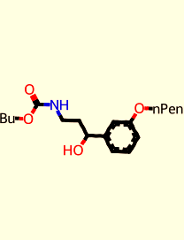 CCCCCOc1cccc(C(O)CCNC(=O)OC(C)(C)C)c1